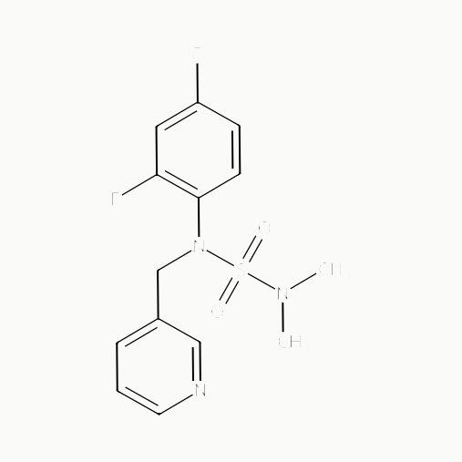 CN(C)S(=O)(=O)N(Cc1cccnc1)c1ccc(F)cc1F